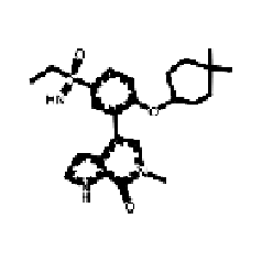 CCS(=N)(=O)c1ccc(OC2CCC(C)(C)CC2)c(-c2cn(C)c(=O)c3[nH]ccc23)c1